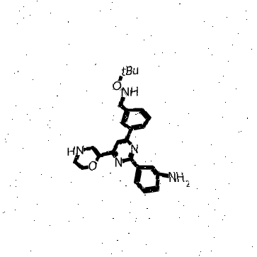 CC(C)(C)ONCc1cccc(-c2cc(C3CNCCO3)nc(-c3cccc(N)c3)n2)c1